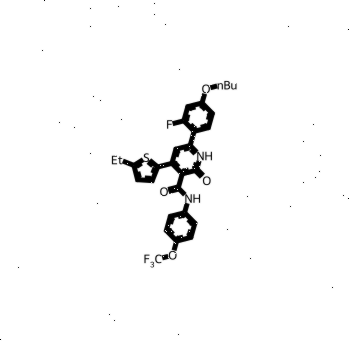 CCCCOc1ccc(-c2cc(-c3ccc(CC)s3)c(C(=O)Nc3ccc(OC(F)(F)F)cc3)c(=O)[nH]2)c(F)c1